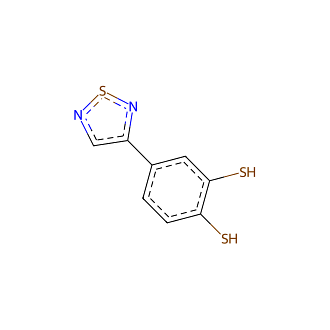 Sc1ccc(-c2cnsn2)cc1S